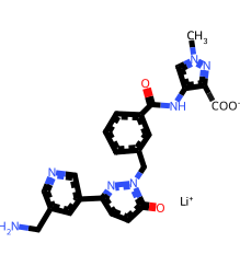 Cn1cc(NC(=O)c2cccc(Cn3nc(-c4cncc(CN)c4)ccc3=O)c2)c(C(=O)[O-])n1.[Li+]